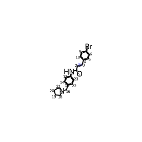 O=C(/C=C/c1ccc(Br)cc1)Nc1ccc(CN2CCCC2)cc1